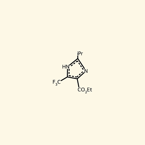 CCOC(=O)c1nc(C(C)C)[nH]c1C(F)(F)F